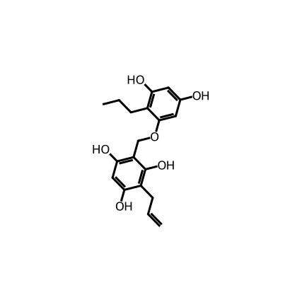 C=CCc1c(O)cc(O)c(COc2cc(O)cc(O)c2CCC)c1O